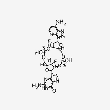 Nc1nc2c(nnn2[C@@H]2O[C@@H]3COP(O)(=S)O[C@H]4[C@H](F)[C@H](n5nnc6c(N)ccnc65)O[C@@H]4COP(O)(=S)O[C@@H]2[C@@H]3F)c(=O)[nH]1